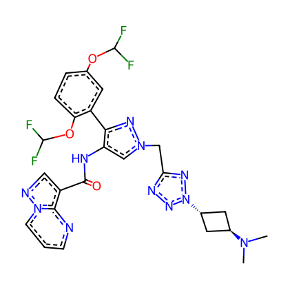 CN(C)[C@H]1C[C@H](n2nnc(Cn3cc(NC(=O)c4cnn5cccnc45)c(-c4cc(OC(F)F)ccc4OC(F)F)n3)n2)C1